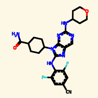 N#Cc1cc(F)c(Nc2nc3cnc(NC4CCOCC4)nc3n2C2CCC(C(N)=O)CC2)c(F)c1